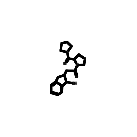 O=C(C1CSCN1C(=O)CC1Cc2ccccc2C1O)N1CCCC1